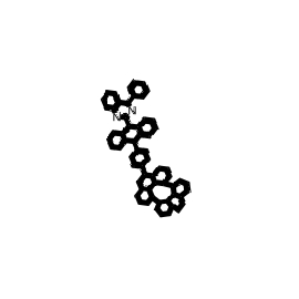 c1ccc(-c2nc(-c3c4ccccc4c(-c4ccc(-c5cc6cccc7c8cccc9ccc%10cccc(c%11cccc5c%11c67)c%10c98)cc4)c4ccccc34)nc3ccccc23)cc1